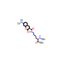 CCN(CC)c1ccc2cc(C(=O)NCCCCC(NC(C)(C)C)C(=O)C(C)(C)C)c(=O)oc2c1